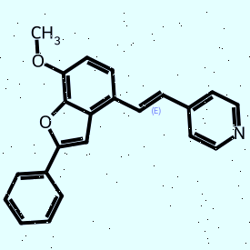 COc1ccc(/C=C/c2ccncc2)c2cc(-c3ccccc3)oc12